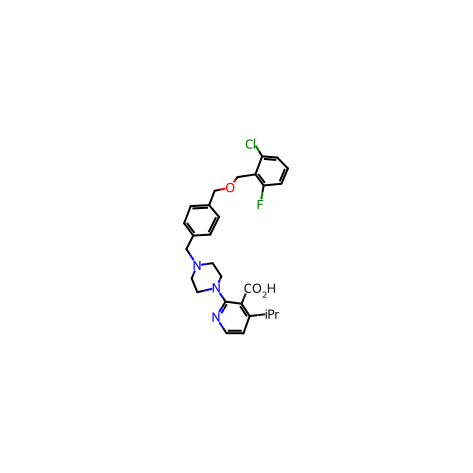 CC(C)c1ccnc(N2CCN(Cc3ccc(COCc4c(F)cccc4Cl)cc3)CC2)c1C(=O)O